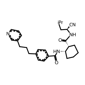 CC(C)C[C@@H](C#N)NC(=O)[C@@H]1CCCC[C@@H]1NC(=O)c1ccc(CCCc2cccnc2)cc1